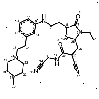 CCN1C(=O)C(CCNc2cccc(CCN3CCC(C)CC3)c2)SC1CC(C#N)C(=O)NCC#N